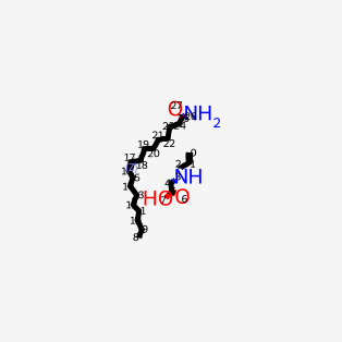 C=CCNCC(=O)O.CCCCCCCC/C=C\CCCCCCCC(N)=O